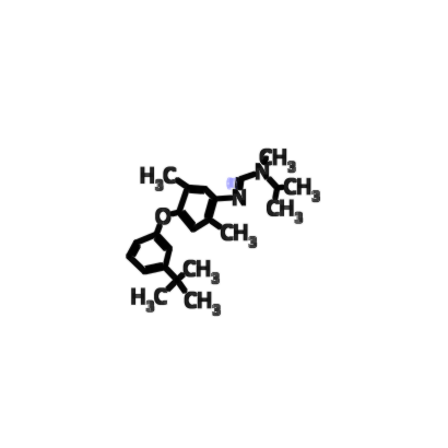 Cc1cc(Oc2cccc(C(C)(C)C)c2)c(C)cc1/N=C/N(C)C(C)C